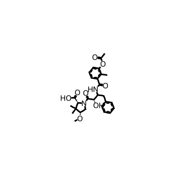 CO[C@H]1CN(C(=O)[C@@H](O)C(Cc2ccccc2)NC(=O)c2cccc(OC(C)=O)c2C)[C@H](C(=O)O)C1(C)C